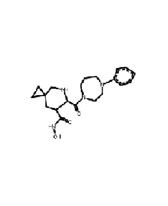 O=C(NO)C1CC2(CC2)CNC1C(=O)N1CCCN(c2ccccc2)CC1